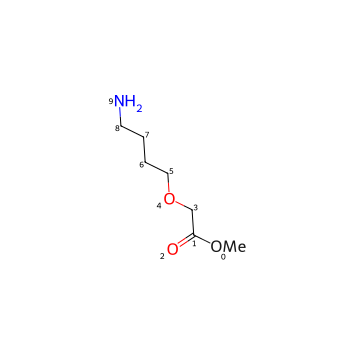 COC(=O)COCCCCN